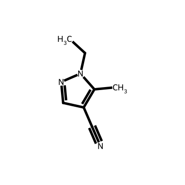 CCn1ncc(C#N)c1C